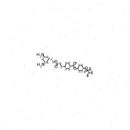 Nc1cc(N)cc(CCOC(=O)/C=C/c2ccc(C(=O)Oc3ccc(OC(F)(F)C(F)F)cc3)cc2)c1